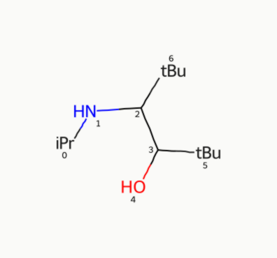 CC(C)NC(C(O)C(C)(C)C)C(C)(C)C